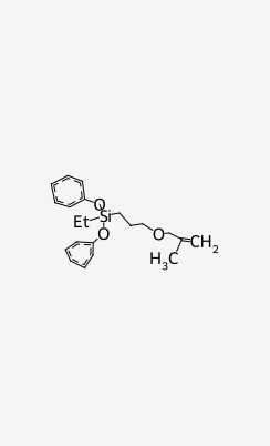 C=C(C)COCCC[Si](CC)(Oc1ccccc1)Oc1ccccc1